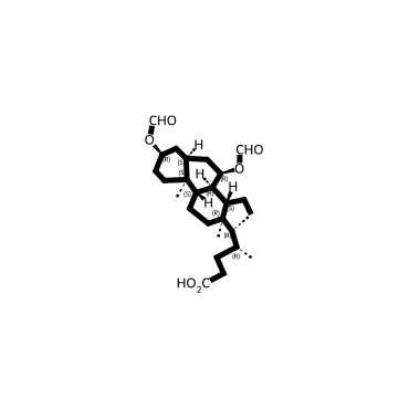 C[C@H](CCC(=O)O)[C@H]1CC[C@H]2[C@@H]3[C@H](OC=O)C[C@@H]4C[C@H](OC=O)CC[C@]4(C)[C@H]3CC[C@]12C